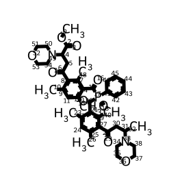 COC(=O)C(CC(=O)c1c(C)cc(C)c(C(=O)P(=O)(C(=O)c2c(C)cc(C)c(C(=O)CC(C)N3CCOCC3)c2C)c2ccccc2)c1C)N1CCOCC1